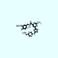 COc1cc(CNC(=O)c2cc(-c3noc(C[C@H]4CO[C@H](CO)CO4)n3)nc(C)n2)ccc1F